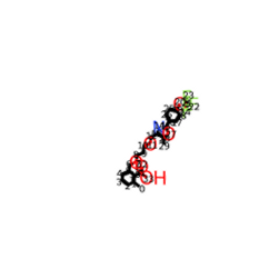 Cc1cccc(COCCCOCc2nc(-c3ccc(OC(F)(F)F)cc3)oc2C)c1C(=O)O